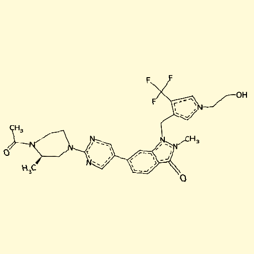 CC(=O)N1CCN(c2ncc(-c3ccc4c(=O)n(C)n(Cc5cn(CCO)cc5C(F)(F)F)c4c3)cn2)C[C@H]1C